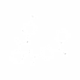 Bc1ccc(NC(=O)c2ccccc2NC(=O)c2ccc(C(=N)N3CCCCC3)cc2)nc1